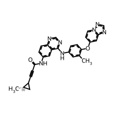 Cc1cc(Nc2ncnc3ccc(NC(=O)C#CC4C[C@@H]4C)cc23)ccc1Oc1ccn2ncnc2c1